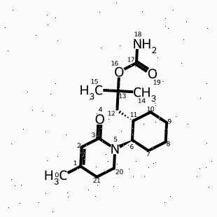 CC1=CC(=O)N([C@@H]2CCCC[C@H]2CC(C)(C)OC(N)=O)CC1